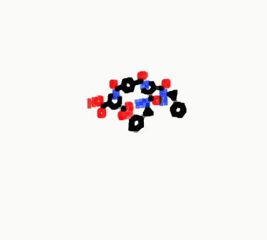 O=C(O)[C@@H]1C[C@@H](C(=O)O)CN(C(=O)c2ccc(C(=O)N3C[C@@H](C(=O)N[C@H]4C[C@@H]4c4ccccc4)[C@H](C(=O)N[C@H]4C[C@@H]4c4ccccc4)C3)cc2)C1